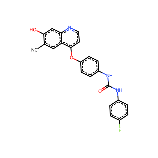 N#Cc1cc2c(Oc3ccc(NC(=O)Nc4ccc(F)cc4)cc3)ccnc2cc1O